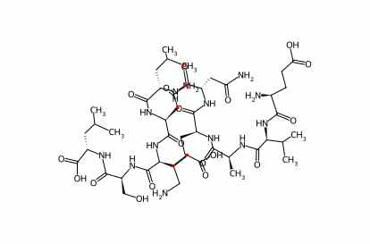 CC(C)C[C@H](NC(=O)[C@H](CO)NC(=O)[C@H](CCC(=O)O)NC(=O)[C@H](CC(N)=O)NC(=O)[C@H](CC(C)C)NC(=O)[C@H](CC(N)=O)NC(=O)[C@H](CCCCN)NC(=O)[C@H](C)NC(=O)[C@@H](NC(=O)[C@@H](N)CCC(=O)O)C(C)C)C(=O)O